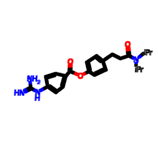 CC(C)N(C(=O)CCc1ccc(OC(=O)c2ccc(NC(=N)N)cc2)cc1)C(C)C